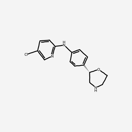 Clc1ccc(Nc2ccc([C@H]3CNCCO3)cc2)nc1